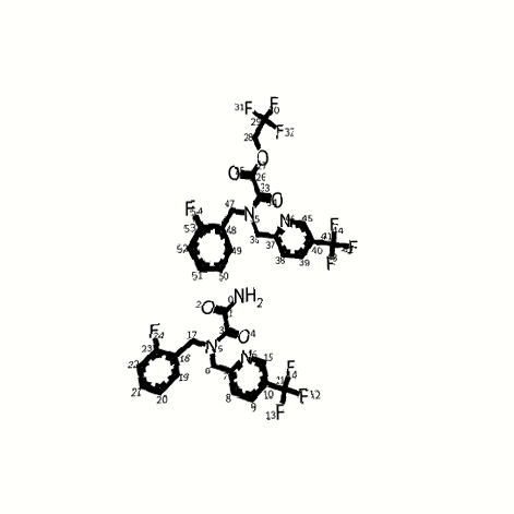 NC(=O)C(=O)N(Cc1ccc(C(F)(F)F)cn1)Cc1ccccc1F.O=C(OCC(F)(F)F)C(=O)N(Cc1ccc(C(F)(F)F)cn1)Cc1ccccc1F